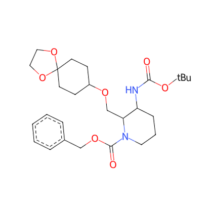 CC(C)(C)OC(=O)NC1CCCN(C(=O)OCc2ccccc2)C1COC1CCC2(CC1)OCCO2